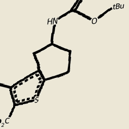 CC(C)(C)OC(=O)NC1CCc2sc(C(=O)O)c(I)c2C1